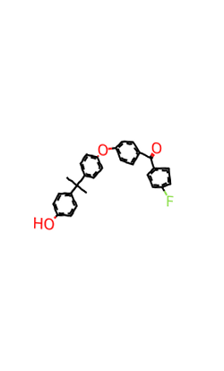 CC(C)(c1ccc(O)cc1)c1ccc(Oc2ccc(C(=O)c3ccc(F)cc3)cc2)cc1